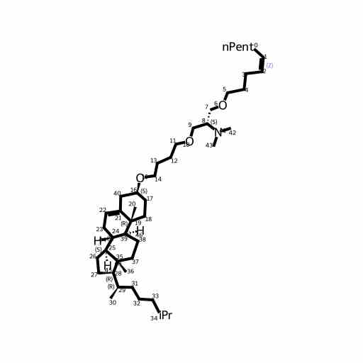 CCCCC/C=C\CCCOC[C@@H](COCCCCO[C@H]1CC[C@@]2(C)C(=CC[C@H]3[C@@H]4CC[C@H]([C@H](C)CCCC(C)C)[C@@]4(C)CC[C@@H]32)C1)N(C)C